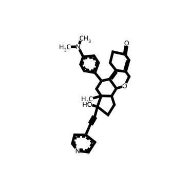 CN(C)c1ccc(C2CC3(C)C(CCC3(O)C#Cc3ccncc3)C3OCC4=CC(=O)CCC4=C23)cc1